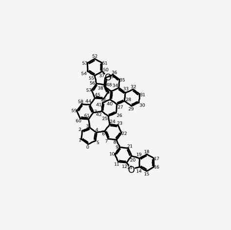 c1ccc2c(c1)-c1cc(-c3ccc4oc5ccccc5c4c3)ccc1-c1cc3c4ccccc4c4ccccc4c3cc1-c1c(-c3ccc4oc5ccccc5c4c3)cccc1-2